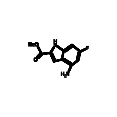 COC(=O)c1cc2c(N)cc(F)cc2[nH]1